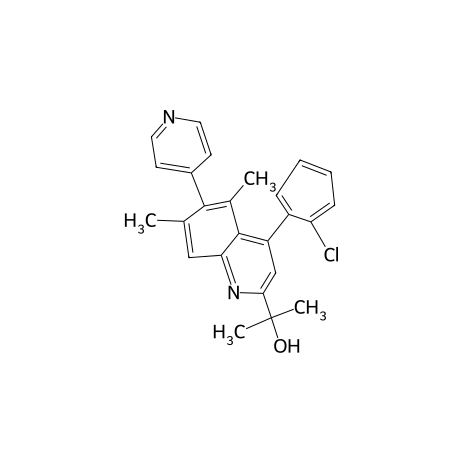 Cc1cc2nc(C(C)(C)O)cc(-c3ccccc3Cl)c2c(C)c1-c1ccncc1